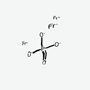 O=P([O-])([O-])[O-].[Fr+].[Fr+].[Fr+]